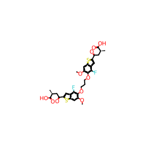 COc1cc2sc(C(=O)C[C@H](C)C(=O)O)cc2c(F)c1OCCCOc1c(OC)cc2sc(C(=O)C[C@H](C)C(=O)O)cc2c1F